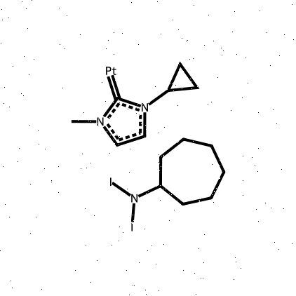 Cn1ccn(C2CC2)[c]1=[Pt].IN(I)C1CCCCCC1